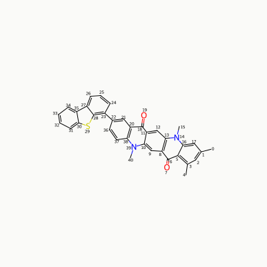 Cc1cc(C)c2c(=O)c3cc4c(cc3n(C)c2c1)c(=O)c1cc(-c2cccc3c2sc2ccccc23)ccc1n4C